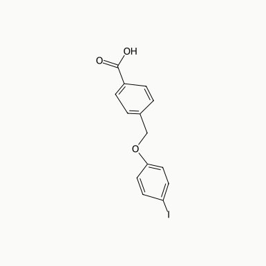 O=C(O)c1ccc(COc2ccc(I)cc2)cc1